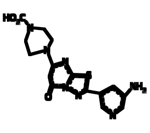 Nc1cncc(-c2nn3c(=O)cc(N4CCN(C(=O)O)CC4)nc3s2)c1